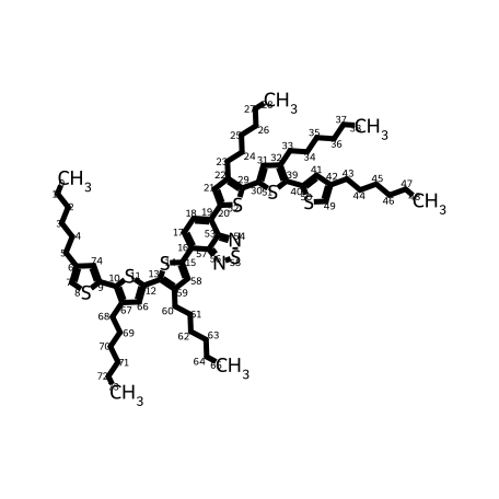 CCCCCCc1csc(-c2sc(-c3sc(-c4ccc(-c5cc(CCCCCC)c(-c6cc(CCCCCC)c(-c7cc(CCCCCC)cs7)s6)s5)c5nsnc45)cc3CCCCCC)cc2CCCCCC)c1